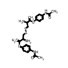 C=C(Oc1ccc(NC(C)=O)cc1)C(N)CSSCC(N)C(=C)Oc1ccc(NC(C)=O)cc1